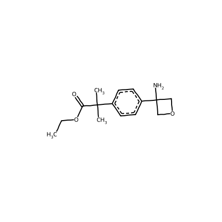 CCOC(=O)C(C)(C)c1ccc(C2(N)COC2)cc1